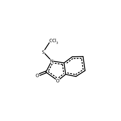 O=c1oc2ccccc2n1SC(Cl)(Cl)Cl